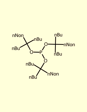 CCCCCCCCCC(CCCC)(CCCC)OP(OC(CCCC)(CCCC)CCCCCCCCC)OC(CCCC)(CCCC)CCCCCCCCC